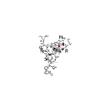 COC(=O)c1cc(-c2csc(N3[C@@H]4CC[C@H]3C[C@H](OCc3c(-c5ccccc5OC(F)(F)F)noc3C3CC3)C4)n2)cs1